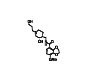 COc1ccc(C(=O)NC[C@@H]2CCN(CCCO)C[C@H]2O)c2c1OCCO2